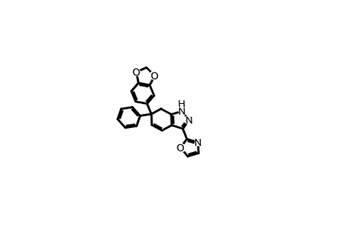 C1=CC(c2ccccc2)(c2ccc3c(c2)OCO3)Cc2[nH]nc(-c3ncco3)c21